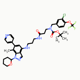 Cc1c(-c2ccncc2)cc(NCCCNC(=O)CCN(Cc2ccc(OC(F)(F)F)c(Cl)c2)C(=O)OC(C)(C)C)c2cnn(C3CCCCO3)c12